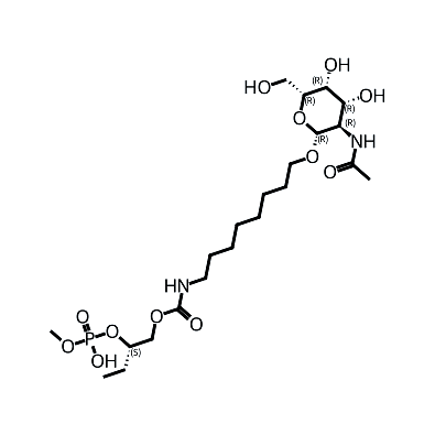 CC[C@@H](COC(=O)NCCCCCCCCO[C@@H]1O[C@H](CO)[C@H](O)[C@H](O)[C@H]1NC(C)=O)OP(=O)(O)OC